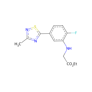 CCOC(=O)CNc1cc(-c2nc(C)ns2)ccc1F